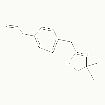 C=CCc1ccc(CC2=NC(C)(C)CO2)cc1